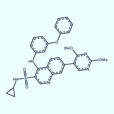 COc1ncc(-c2ccc3c(Nc4cccc(Oc5ccccc5)c4)c(S(=O)(=O)NC4CC4)cnc3c2)c(OC)n1